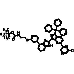 CC(C)(C)OC(=O)NCCOc1cccc(-c2cccc3[nH]c(-c4nn(C(c5ccccc5)(c5ccccc5)c5ccccc5)c5ccc(-c6cncc(Cl)n6)cc45)nc23)c1